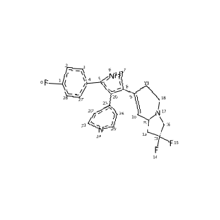 Fc1ccc(-c2[nH]cc(C3=CC4CC(F)(F)CN4CC3)c2-c2ccncc2)cc1